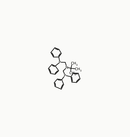 CC(C)(C)N(CP(c1ccccc1)c1ccccc1)CP(c1ccccc1)c1ccccc1